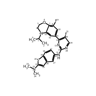 CC(C)N1CCOc2c(F)cc(-c3nc(Nc4ccc5sc(N(C)C)cc5c4)ncc3F)cc21